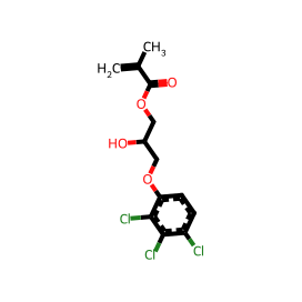 C=C(C)C(=O)OCC(O)COc1ccc(Cl)c(Cl)c1Cl